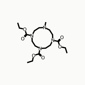 CCOC(=O)N1CCN(C)CCN(C(=O)OCC)CCN(C(=O)OCC)CC1